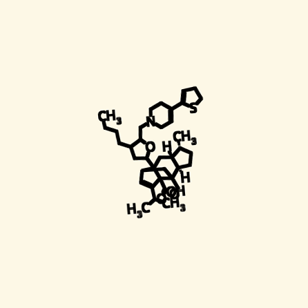 CCCCC1CC(C23C[C@@H]4[C@H](C)CC[C@H]4C4(C=O)CC2C=C(C(C)C)C34C(=O)O)OC1CN1CC=C(C2=CCCS2)CC1